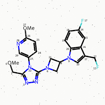 COCc1nnc(N2CC(n3cc(CF)c4cc(F)ccc43)C2)n1-c1ccc(OC)nc1